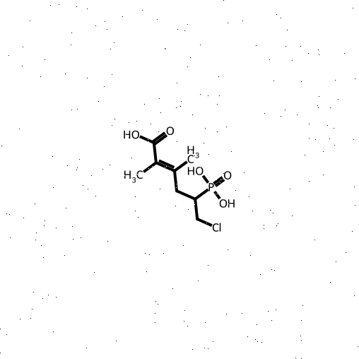 CC(CC(CCl)P(=O)(O)O)=C(C)C(=O)O